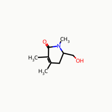 CC1=C(C)C(=O)N(C)C(CO)C1